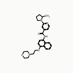 CC1CCCN1c1cc(C(=O)Nc2ccc(OCCN3CCOCC3)c3ccccc23)ccn1